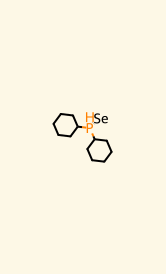 [Se]=[PH](C1CCCCC1)C1CCCCC1